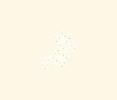 c1ccc(N(c2ccc3c(c2)C(c2ccccc2)(c2ccccc2)c2ccccc2-3)c2ccc3c(c2)C(c2ccccc2)(c2ccc4c(c2)sc2ccc5ccccc5c24)c2ccccc2-3)cc1